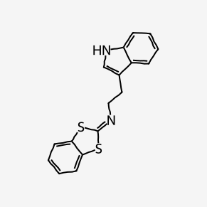 c1ccc2c(CCN=c3sc4ccccc4s3)c[nH]c2c1